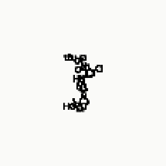 CCC1(C(C)O)CN(c2ccc(Nc3ccc(Cl)c4c3C(=O)N(C(=O)OC(C)(C)C)C4)nc2)CCO1